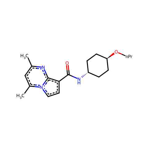 CCCO[C@H]1CC[C@H](NC(=O)c2ccn3c(C)cc(C)nc23)CC1